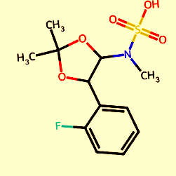 CN(C1OC(C)(C)OC1c1ccccc1F)S(=O)(=O)O